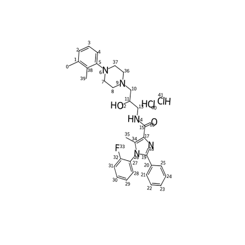 Cc1cccc(N2CCN(CC(O)CNC(=O)c3nc(-c4ccccc4)n(-c4ccccc4F)c3C)CC2)c1C.Cl.Cl